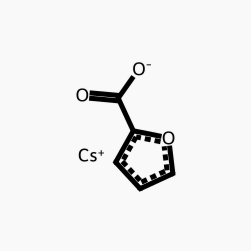 O=C([O-])c1ccco1.[Cs+]